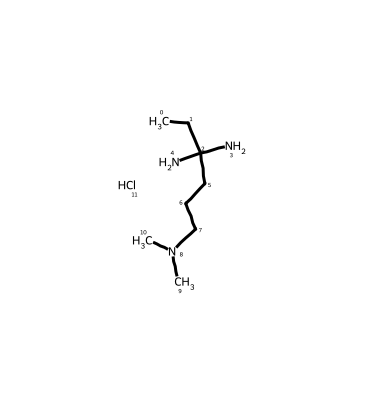 CCC(N)(N)CCCN(C)C.Cl